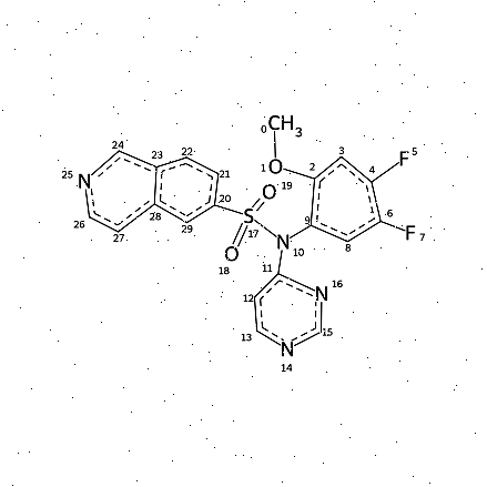 COc1cc(F)c(F)cc1N(c1ccncn1)S(=O)(=O)c1ccc2cnccc2c1